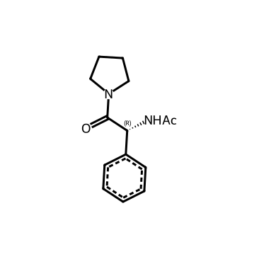 CC(=O)N[C@@H](C(=O)N1CCCC1)c1ccccc1